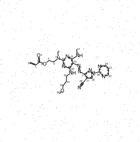 C=CC(=O)OCCN(C)c1nc(NC)c(N=Nc2nn(-c3ncccn3)cc2C#N)c(NCCCOC)n1